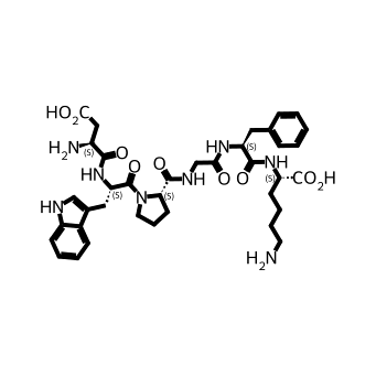 NCCCC[C@H](NC(=O)[C@H](Cc1ccccc1)NC(=O)CNC(=O)[C@@H]1CCCN1C(=O)[C@H](Cc1c[nH]c2ccccc12)NC(=O)[C@@H](N)CC(=O)O)C(=O)O